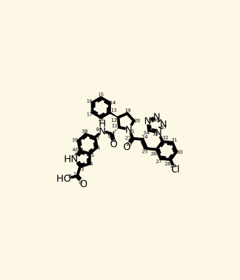 O=C(O)c1cc2cc(NC(=O)[C@@H]3[C@@H](c4ccccc4)CCN3C(=O)/C=C/c3cc(Cl)ccc3-n3cnnn3)ccc2[nH]1